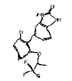 CC(Oc1cccc(Cl)c1-c1ccc2[nH]c(=O)[nH]c2c1)C(F)(F)F